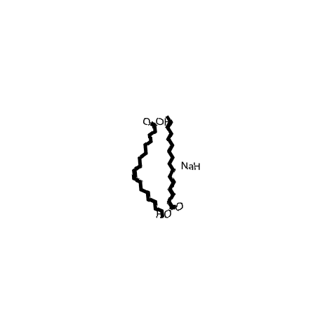 CCCCCCCC/C=C\CCCCCCCC(=O)O.CCCCCCCCCCCCCCCC(=O)O.[NaH]